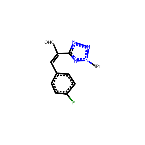 CC(C)n1nnc(C(C=O)=Cc2ccc(F)cc2)n1